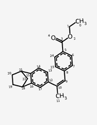 CCOC(=O)c1ccc(/C=C(/C)c2ccc3c(c2)C2CCC3C2)cc1